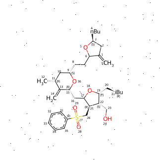 C=C1C[C@H](CCCC)OC1CC[C@H]1C[C@@H](C)C(=C)[C@@H](CC2O[C@H](C[C@H](C)CC)[C@H](CO)[C@H]2CS(=O)(=O)c2ccccc2)O1